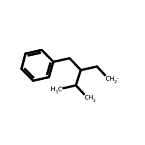 [CH2]CC(Cc1ccccc1)C(C)C